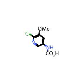 COc1cc(NC(=O)O)cnc1Cl